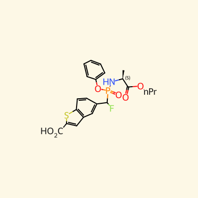 CCCOC(=O)[C@H](C)NP(=O)(Oc1ccccc1)C(F)c1ccc2sc(C(=O)O)cc2c1